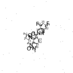 Cc1cc(CN2C(=O)N(C)Cc3ccc(C(=O)NCc4c(F)cc(F)cc4F)cc32)no1